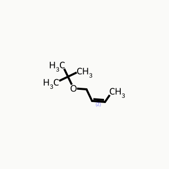 C/C=C\COC(C)(C)C